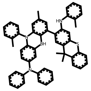 Cc1cc(-c2cc3c(cc2Nc2ccccc2C)Sc2ccccc2C3(C)C)c2c(c1)N(c1ccccc1C)c1ccc(N(c3ccccc3)c3ccccc3)cc1B2